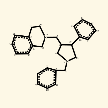 c1ccc(CN2CC(CN3CCc4ccccc4C3)C(c3ccccc3)C2)cc1